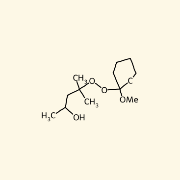 COC1(OOC(C)(C)CC(C)O)CCCCC1